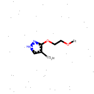 CCOCCOc1n[nH]cc1C(=O)O